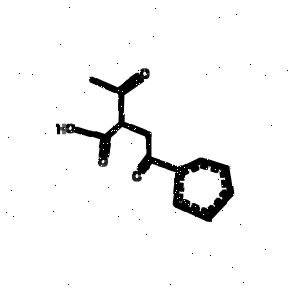 CC(=O)C(CC(=O)c1ccccc1)C(=O)O